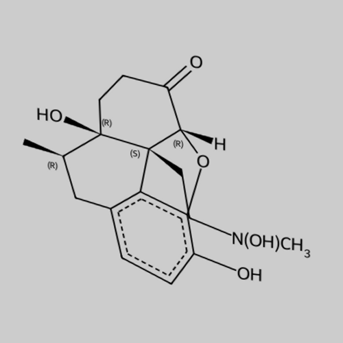 C[C@@H]1Cc2ccc(O)c3c2[C@@]2(CCN(C)O)[C@@H](O3)C(=O)CC[C@@]12O